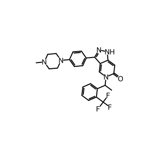 CC(c1ccccc1C(F)(F)F)n1cc2c(-c3ccc(N4CCN(C)CC4)cc3)n[nH]c2cc1=O